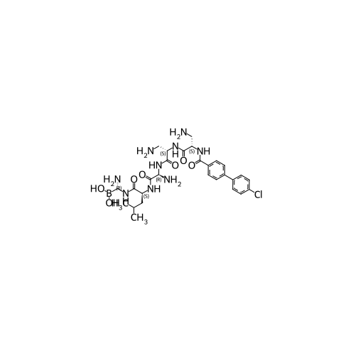 CC(C)C[C@H](NC(=O)[C@H](N)NC(=O)[C@H](CN)NC(=O)[C@H](CN)NC(=O)c1ccc(-c2ccc(Cl)cc2)cc1)C(=O)N[C@@H](N)B(O)O